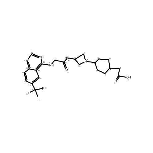 O=C(O)CC1CCC(N2CC(NC(=O)CNc3ncnc4ccc(C(F)(F)F)cc34)C2)CC1